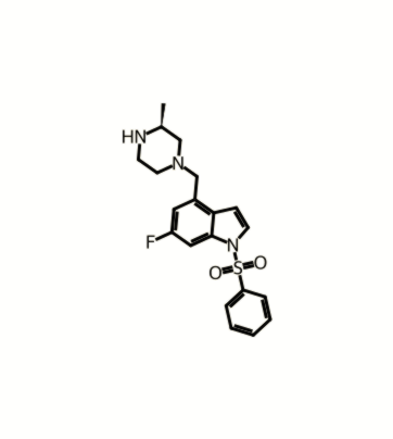 C[C@H]1CN(Cc2cc(F)cc3c2ccn3S(=O)(=O)c2ccccc2)CCN1